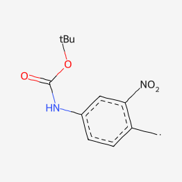 [CH2]c1ccc(NC(=O)OC(C)(C)C)cc1[N+](=O)[O-]